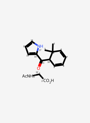 CC(=O)NCC(=O)O.CC1(C)C=CC=CC1C(=O)c1ccc[nH]1